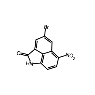 O=C1Nc2ccc([N+](=O)[O-])c3cc(Br)cc1c23